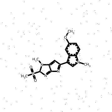 COc1ccc2c(c1)c(C1=NC3=NC(S(C)(=O)=O)N(C)C3=C1)cn2C